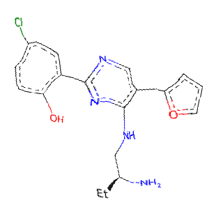 CC[C@H](N)CNc1nc(-c2cc(Cl)ccc2O)ncc1-c1ccco1